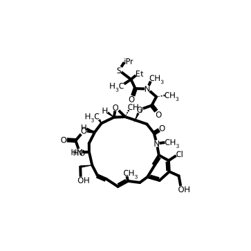 CCC(C)(SC(C)C)C(=O)N(C)[C@H](C)C(=O)O[C@H]1CC(=O)N(C)c2cc(cc(CO)c2Cl)C/C(C)=C/C=C/[C@@H](CO)[C@@]2(O)C[C@H](OC(=O)N2)[C@@H](C)[C@@H]2O[C@@]12C